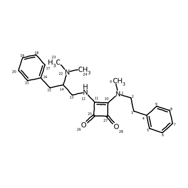 CN(CCc1ccccc1)c1c(NCC(Cc2ccccc2)N(C)C)c(=O)c1=O